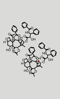 CC(=O)O[C@H]1C(=O)[C@@]2(C)[C@H]([C@H](OC(=O)c3ccccc3)[C@]3(O)C[C@H](OC(=O)[C@H](O)[C@@H](NC(=O)c4ccccc4)c4ccccc4)C(C)=C1C3(C)C)[C@]1(OC(C)=O)CO[C@@H]1C[C@@H]2O.CC(=O)O[C@H]1C(=O)[C@@]2(C)[C@H]([C@H](OC(=O)c3ccccc3)[C@]3(O)C[C@H](OC(=O)[C@H](O)[C@@H](NC(=O)c4ccccc4)c4ccccc4)C(C)=C1C3(C)C)[C@]1(OC(C)=O)CO[C@@H]1C[C@@H]2O